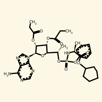 CCC(=O)O[C@H]1[C@@H](OC(=O)CC)[C@H](n2cnc3c(N)ncnc32)O[C@@H]1[C@H](C)OP(=O)(N[C@@H](C)C(=O)OC1CCCCC1)Oc1ccccc1